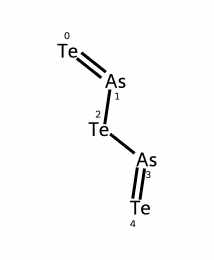 [Te]=[As][Te][As]=[Te]